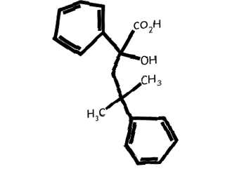 CC(C)(CC(O)(C(=O)O)c1ccccc1)c1ccccc1